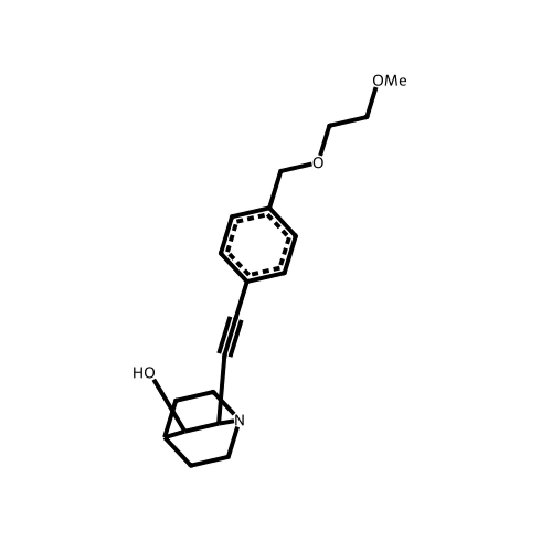 COCCOCc1ccc(C#CC2C(O)C3CCN2CC3)cc1